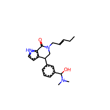 CC/C=C/CN1CC(c2cccc(C(O)N(C)C)c2)c2cc[nH]c2C1=O